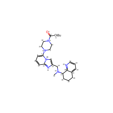 CC(C)COC(=O)N1CCN(c2cccc3nc(CN(C)C4CCCc5cccnc54)cn23)CC1